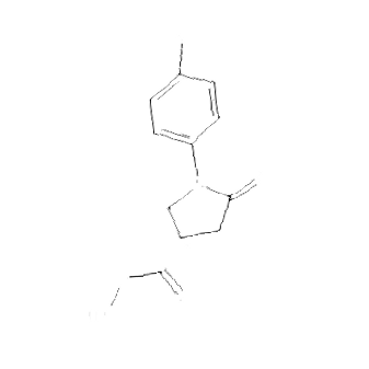 COC(=O)[C@H]1CC(=O)N(c2ccc(O)cc2)C1